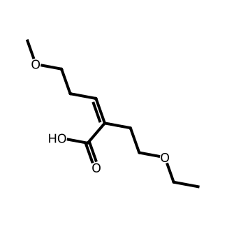 CCOCCC(=CCCOC)C(=O)O